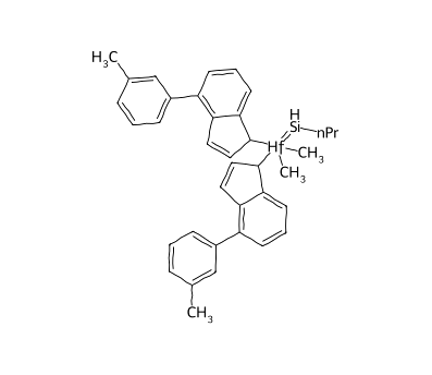 CCC[SiH]=[Hf]([CH3])([CH3])([CH]1C=Cc2c(-c3cccc(C)c3)cccc21)[CH]1C=Cc2c(-c3cccc(C)c3)cccc21